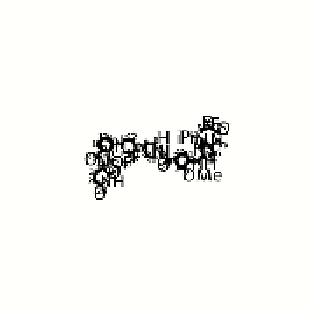 COc1cc(C(=O)NN2CCN(C3CCN(c4cccc5c4C(=O)N(C4CCC(=O)NC4=O)C5=O)CC3(F)F)CC2)ccc1Nc1ncc2c(n1)N(C(C)C)CC(F)(F)C(=O)N2C